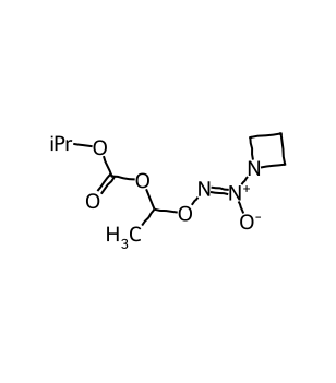 CC(C)OC(=O)OC(C)O/N=[N+](\[O-])N1CCC1